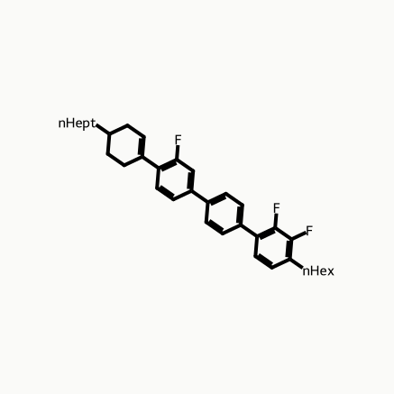 CCCCCCCC1CC=C(c2ccc(-c3ccc(-c4ccc(CCCCCC)c(F)c4F)cc3)cc2F)CC1